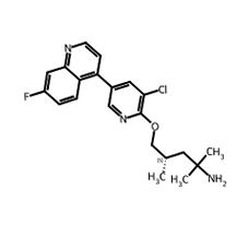 C[C@H](COc1ncc(-c2ccnc3cc(F)ccc23)cc1Cl)CC(C)(C)N